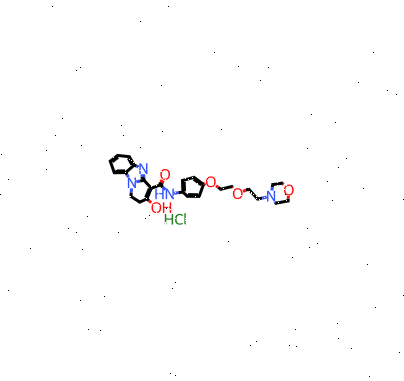 Cl.O=C(Nc1ccc(OCCOCCN2CCOCC2)cc1)C1=C(O)CCn2c1nc1ccccc12